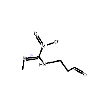 C/N=C(\NCCC=O)[N+](=O)[O-]